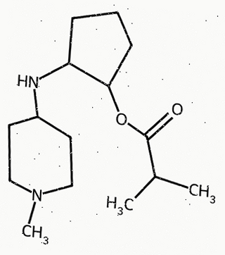 CC(C)C(=O)OC1CCCC1NC1CCN(C)CC1